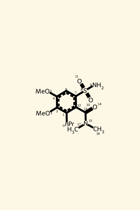 CCCc1c(OC)c(OC)cc(S(N)(=O)=O)c1C(=O)N(C)C